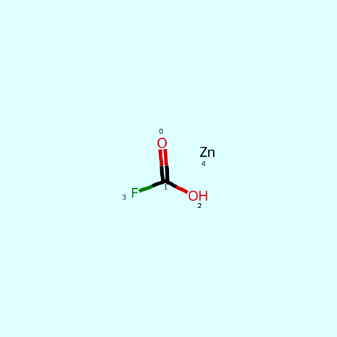 O=C(O)F.[Zn]